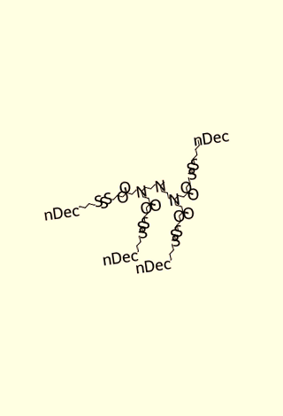 CCCCCCCCCCCCCCSSSCCOC(=O)CCN(CCCN(C)CCCN(CCC(=O)OCCSSSCCCCCCCCCCCCCC)CCC(=O)OCCSSSCCCCCCCCCCCCCC)CCC(=O)OCCSSSCCCCCCCCCCCCCC